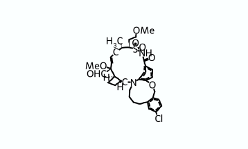 COCC[C@@H]1[C@@H](C)C/C=C/[C@@](C=O)(OC)[C@@H]2CC[C@H]2CN2CCCCc3cc(Cl)ccc3COc3ccc(cc32)C(=O)NS1(=O)=O